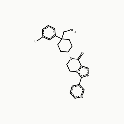 NC[C@]1(c2cccc(Cl)c2)CC[C@@H](N2CCn3c(nnc3-c3cccnc3)C2=O)CC1